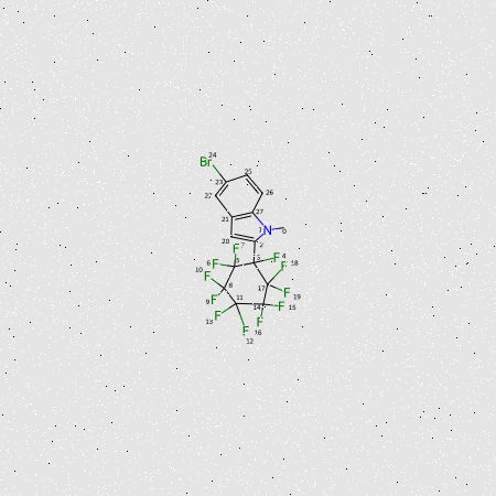 Cn1c(C2(F)C(F)(F)C(F)(F)C(F)(F)C(F)(F)C2(F)F)cc2cc(Br)ccc21